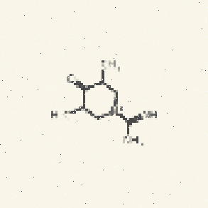 CC1C[N+](C(=N)N)CC(C)C1=O